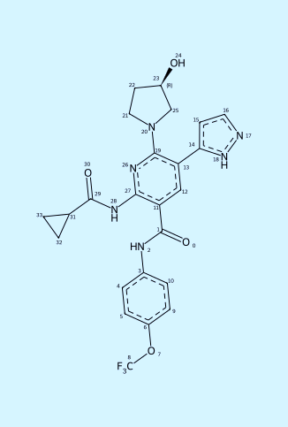 O=C(Nc1ccc(OC(F)(F)F)cc1)c1cc(-c2ccn[nH]2)c(N2CC[C@@H](O)C2)nc1NC(=O)C1CC1